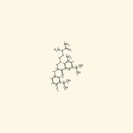 NC(=O)C(N)CCCCN(Cc1ccc(F)c(B(O)O)c1)C(=O)c1cc(B(O)O)cc([N+](=O)[O-])c1